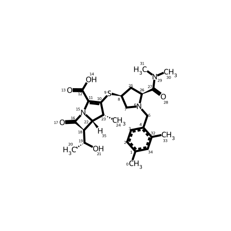 Cc1ccc(CN2C[C@@H](SC3=C(C(=O)O)N4C(=O)[C@H]([C@@H](C)O)[C@H]4[C@H]3C)C[C@H]2C(=O)N(C)C)c(C)c1